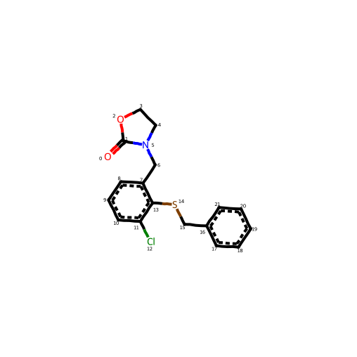 O=C1OCCN1Cc1cccc(Cl)c1SCc1ccccc1